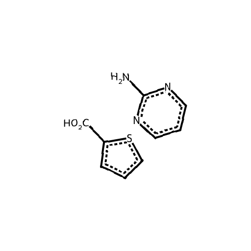 Nc1ncccn1.O=C(O)c1cccs1